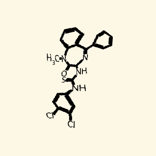 CN1C(=O)C(NC(=S)Nc2ccc(Cl)c(Cl)c2)N=C(c2ccccc2)c2ccccc21